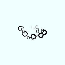 CCOc1c(-c2ccc(OC3CCN(C4CCCO4)CC3)cc2)ccc2cccnc12